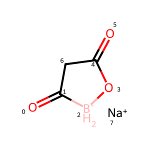 O=C1[BH2-]OC(=O)C1.[Na+]